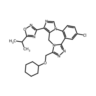 CC(C)c1nc(-c2ncn3c2Cn2c(COC4CCCCC4)nnc2-c2cc(Cl)ccc2-3)no1